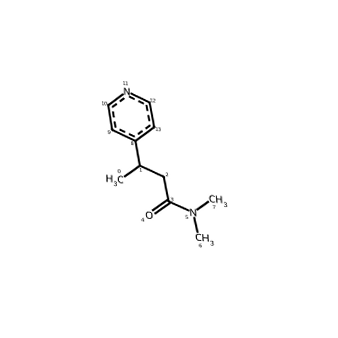 CC(CC(=O)N(C)C)c1ccncc1